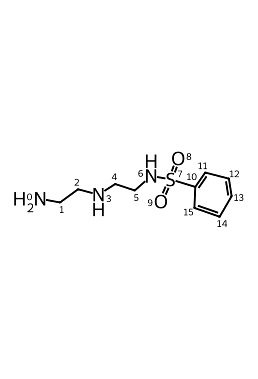 NCCNCCNS(=O)(=O)c1ccccc1